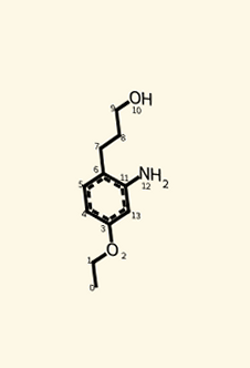 CCOc1ccc(CCCO)c(N)c1